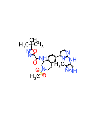 Cc1n[nH]cc1Nc1nccc(-c2ccc3c(c2)CCN(S(C)(=O)=O)C[C@H]3NC(=O)c2nnc(C(C)(C)C)o2)n1